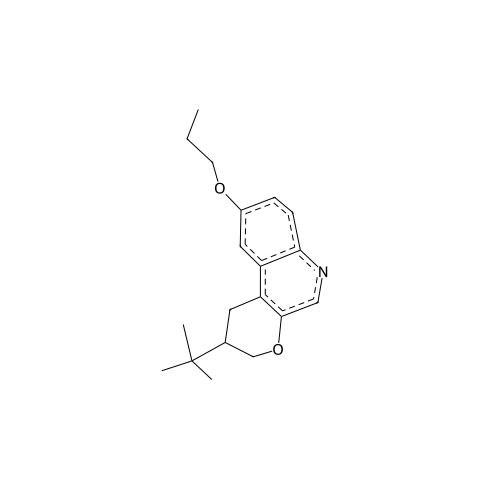 CCCOc1ccc2ncc3c(c2c1)CC(C(C)(C)C)CO3